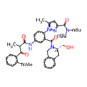 CCCCN(CCCC)C(=O)c1cc(C)n(-c2ccc(NC(=O)C(C)C(=O)c3ccccc3NC)cc2C(=O)N2Cc3ccccc3C[C@H]2CO)n1